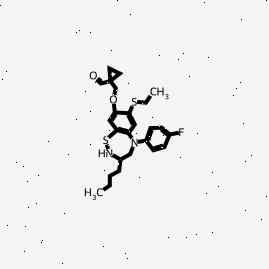 CCCCC1CN(c2ccc(F)cc2)c2cc(SCC)c(OCC3(C=O)CC3)cc2SN1